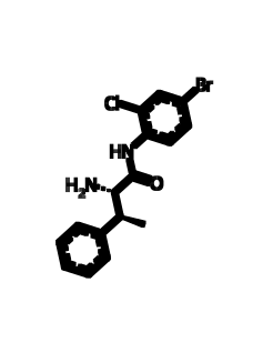 C[C@@H](c1ccccc1)[C@H](N)C(=O)Nc1ccc(Br)cc1Cl